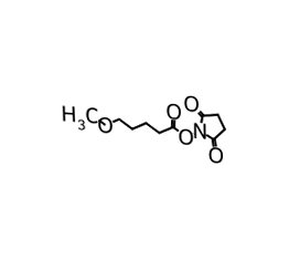 COCCCCC(=O)ON1C(=O)CCC1=O